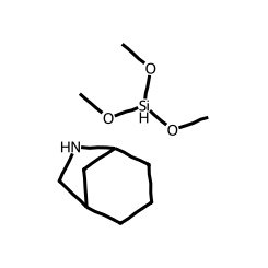 C1CC2CNC(C1)C2.CO[SiH](OC)OC